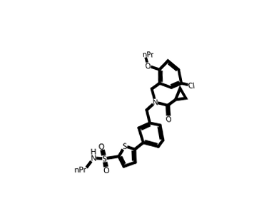 CCCNS(=O)(=O)c1ccc(-c2cccc(CN(Cc3cc(Cl)ccc3OCCC)C(=O)C3CC3)c2)s1